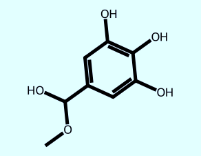 COC(O)c1cc(O)c(O)c(O)c1